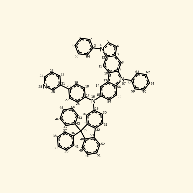 c1ccc(-n2ccc3cc4c(cc32)c2cc(N(c3ccc(-c5cccnc5)cc3)c3ccc5c(c3)C(c3ccccc3)(c3ccccc3)c3ccccc3-5)ccc2n4-c2ccccc2)cc1